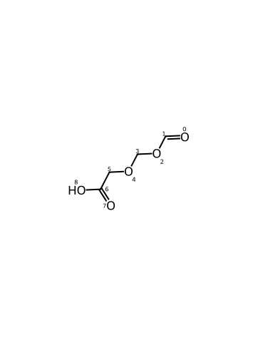 O=COCOCC(=O)O